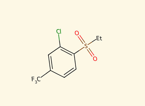 CCS(=O)(=O)c1ccc(C(F)(F)F)cc1Cl